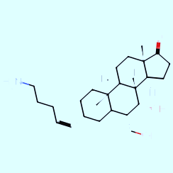 C[C@]12CC[C@@H](/C=C\CCCN)CC1[C@@H](CO)[C@@H](O)[C@@H]1[C@@H]2CC[C@]2(C)C(=O)CC[C@@H]12